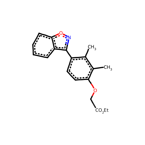 CCOC(=O)COc1ccc(-c2noc3ccccc23)c(C)c1C